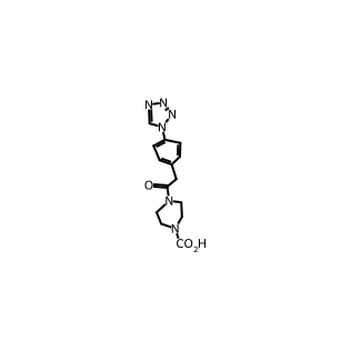 O=C(O)N1CCN(C(=O)Cc2ccc(-n3cnnn3)cc2)CC1